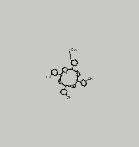 CCCCCCCCCCCCOc1cccc(-c2c3nc(c(-c4cccc(O)c4)c4ccc([nH]4)c(-c4cccc(O)c4)c4nc(c(-c5cccc(O)c5)c5ccc2[nH]5)C=C4)C=C3)c1